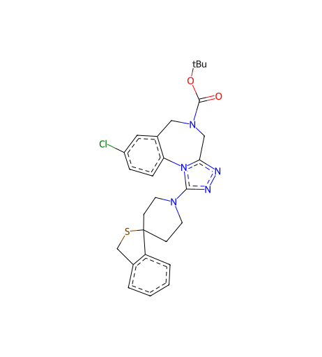 CC(C)(C)OC(=O)N1Cc2cc(Cl)ccc2-n2c(nnc2N2CCC3(CC2)SCc2ccccc23)C1